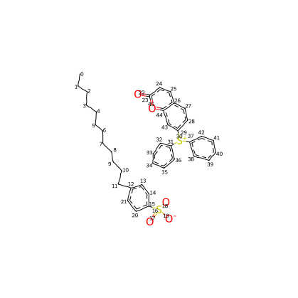 CCCCCCCCCCCCc1ccc(S(=O)(=O)[O-])cc1.O=c1ccc2ccc([S+](c3ccccc3)c3ccccc3)cc2o1